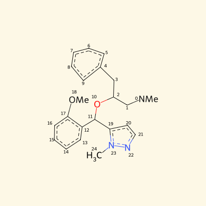 CNCC(Cc1ccccc1)OC(c1ccccc1OC)c1ccnn1C